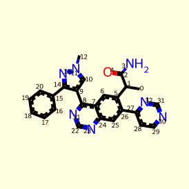 CC(C(N)=O)c1cc2c(-c3cn(C)nc3-c3ccccc3)ncnc2cc1-c1ccncn1